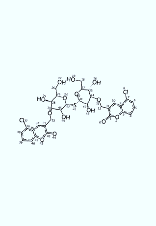 O=c1oc2cccc(Cl)c2cc1COC1[C@@H](O)C(CO)O[C@@H](S[C@@H]2OC(CO)[C@H](O)[C@H](OCc3cc4c(Cl)cccc4oc3=O)C2O)[C@@H]1O